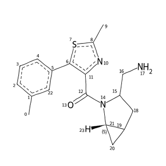 Cc1cccc(-c2sc(C)nc2C(=O)N2C(CN)CC3C[C@@H]32)c1